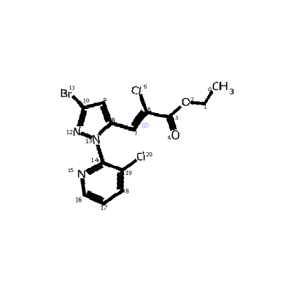 CCOC(=O)/C(Cl)=C/c1cc(Br)nn1-c1ncccc1Cl